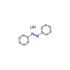 [LiH].c1ccc(N=Nc2ccccc2)cc1